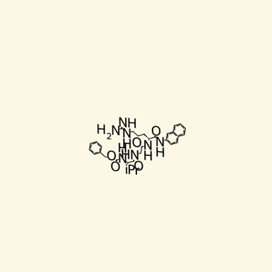 CC(C)[C@H](NC(=O)OCc1ccccc1)C(=O)NCC(=O)N[C@@H](CCCNC(=N)N)C(=O)Nc1ccc2ccccc2c1